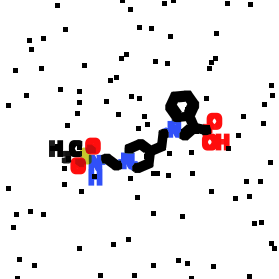 CS(=O)(=O)NCCN1CCC(CCn2cc(C(=O)O)c3ccccc32)CC1